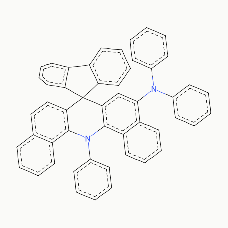 c1ccc(N(c2ccccc2)c2cc3c(c4ccccc24)N(c2ccccc2)c2c(ccc4ccccc24)C32c3ccccc3-c3ccccc32)cc1